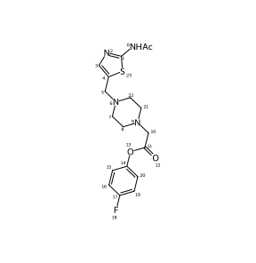 CC(=O)Nc1ncc(CN2CCN(CC(=O)Oc3ccc(F)cc3)CC2)s1